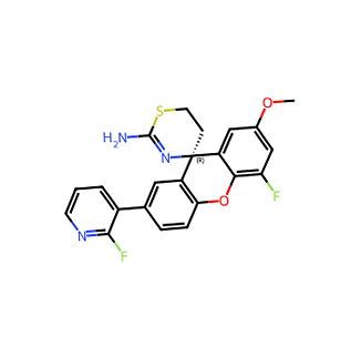 COc1cc(F)c2c(c1)[C@@]1(CCSC(N)=N1)c1cc(-c3cccnc3F)ccc1O2